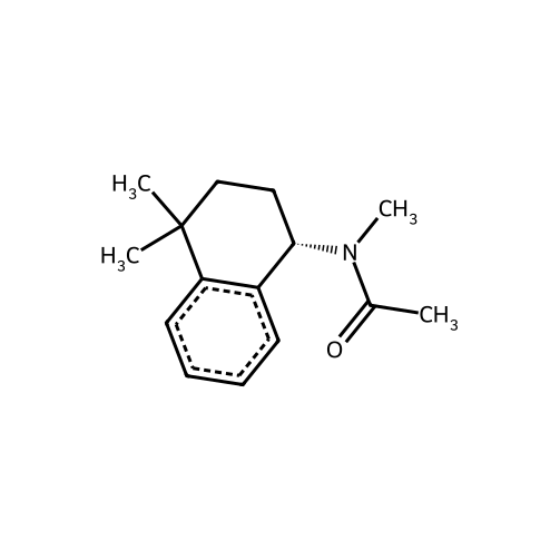 CC(=O)N(C)[C@H]1CCC(C)(C)c2ccccc21